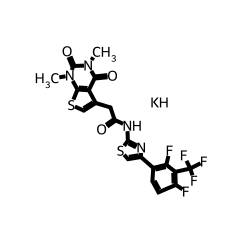 Cn1c(=O)c2c(CC(=O)Nc3nc(-c4ccc(F)c(C(F)(F)F)c4F)cs3)csc2n(C)c1=O.[KH]